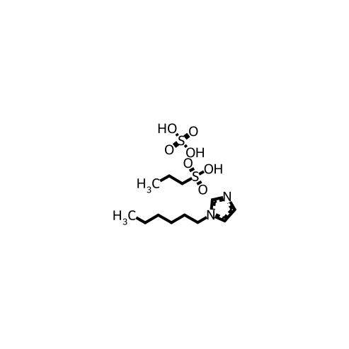 CCCCCCn1ccnc1.CCCS(=O)(=O)O.O=S(=O)(O)O